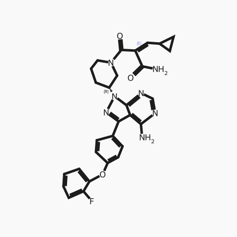 NC(=O)/C(=C\C1CC1)C(=O)N1CCC[C@@H](n2nc(-c3ccc(Oc4ccccc4F)cc3)c3c(N)ncnc32)C1